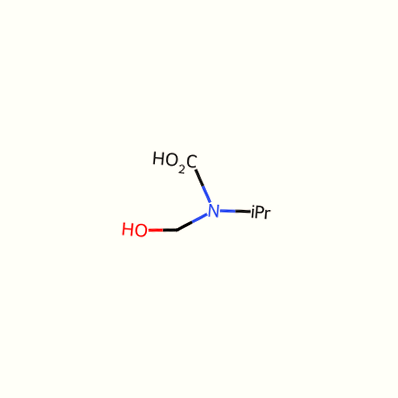 CC(C)N(CO)C(=O)O